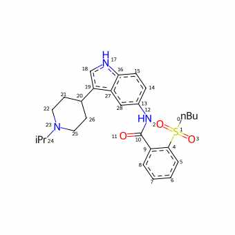 CCCCS(=O)(=O)c1ccccc1C(=O)Nc1ccc2[nH]cc(C3CCN(C(C)C)CC3)c2c1